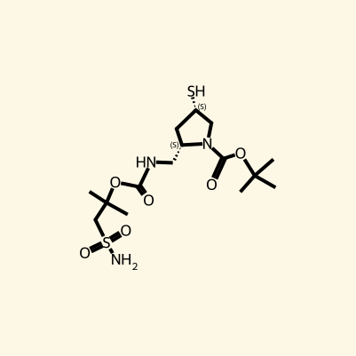 CC(C)(C)OC(=O)N1C[C@@H](S)C[C@H]1CNC(=O)OC(C)(C)CS(N)(=O)=O